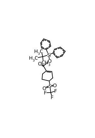 CC(C)(C)[Si](OC(=O)C1=CCC(S(=O)(=O)C(F)(F)F)CC1)(c1ccccc1)c1ccccc1